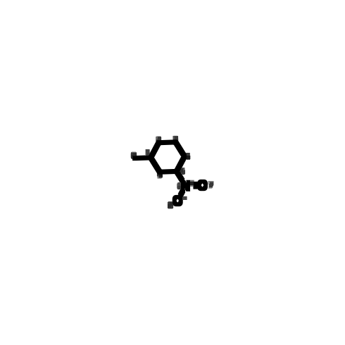 CC1CCCC([N+](=O)[O-])C1